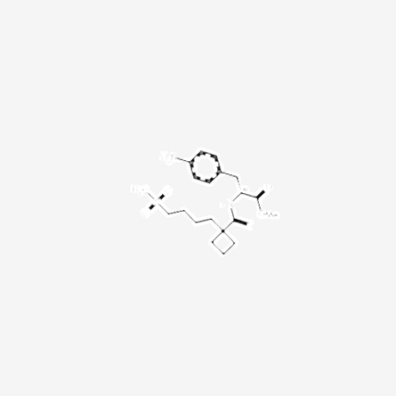 COC(=O)[C@H](Cc1ccc(N)cc1)NC(=S)C1(CCCCS(C)(=O)=O)CCC1